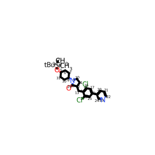 CC(C)(C)[Si](C)(C)OC1CCC(N2CCC(Cc3c(Cl)cc(-c4cccnc4)cc3Cl)C2=O)CC1